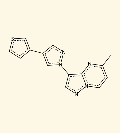 Cc1ccn2ncc(-n3cc(-c4ccsc4)cn3)c2n1